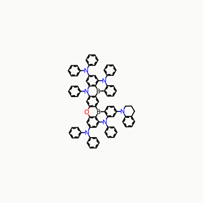 c1ccc(N(c2ccccc2)c2cc3c4c(c2)N(c2ccccc2)c2cc(N5CCCc6ccccc65)ccc2B4c2cc4c(cc2O3)N(c2ccccc2)c2cc(N(c3ccccc3)c3ccccc3)cc3c2B4c2ccccc2N3c2ccccc2)cc1